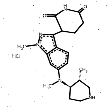 C[C@@H]1CNCC[C@H]1N(C)c1ccc2c(C3CCC(=O)NC3=O)nn(C)c2c1.Cl